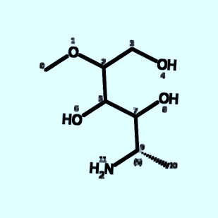 COC(CO)C(O)C(O)[C@H](C)N